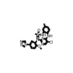 COc1ccc(-n2cnnc2)cc1Nc1ncc(Cl)c(Nc2ccc(C)cc2NS(C)(=O)=O)n1